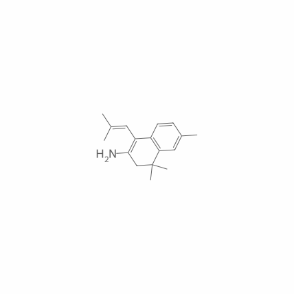 CC(C)=CC1=C(N)CC(C)(C)c2cc(C)ccc21